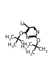 [Li][c]1cnc(OC(C)(C)C)nc1OC(C)(C)C